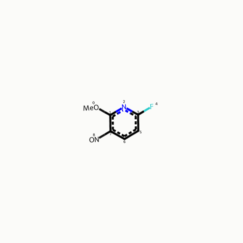 COc1nc(F)ccc1N=O